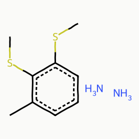 CSc1cccc(C)c1SC.N.N